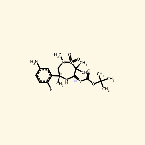 CN1C[C@@](C)(c2cc(N)ccc2F)N/C(=N/C(=O)OC(C)(C)C)C(C)(C)S1(=O)=O